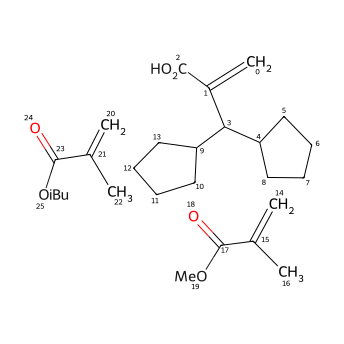 C=C(C(=O)O)C(C1CCCC1)C1CCCC1.C=C(C)C(=O)OC.C=C(C)C(=O)OCC(C)C